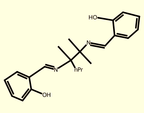 CCCC(C)(/N=C/c1ccccc1O)C(C)(C)/N=C/c1ccccc1O